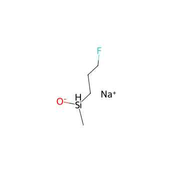 C[SiH]([O-])CCCF.[Na+]